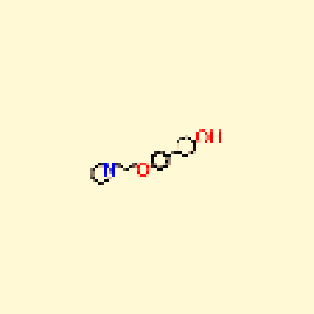 OC1CCC(c2ccc(OCCCN3CCCCC3)cc2)CC1